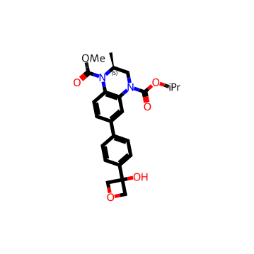 COC(=O)N1c2ccc(-c3ccc(C4(O)COC4)cc3)cc2N(C(=O)OC(C)C)C[C@@H]1C